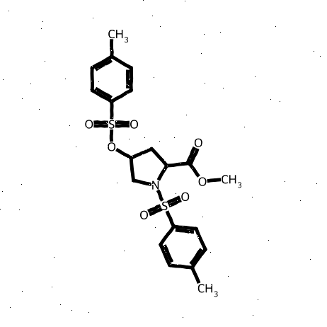 COC(=O)C1CC(OS(=O)(=O)c2ccc(C)cc2)CN1S(=O)(=O)c1ccc(C)cc1